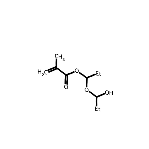 C=C(C)C(=O)OC(CC)OC(O)CC